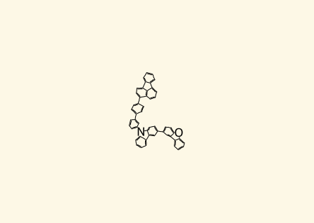 c1cc(-c2ccc(-c3ccc4c5c(cccc35)-c3ccccc3-4)cc2)cc(-n2c3ccccc3c3cc(-c4ccc5oc6ccccc6c5c4)ccc32)c1